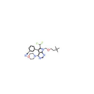 C[Si](C)(C)CCOCn1c(C(F)F)c(-c2cccc(C#N)c2)c2c(N3CCOCC3)ncnc21